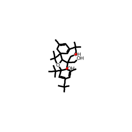 CC1=CC(C(C)(C)C)=CC(OC(C(CO)(CO)CO)C2(C(C)(C)C)C=C(C(C)(C)C)C=C(C)C2)(C(C)(C)C)C1